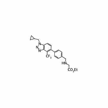 CCOC(=O)CNCc1ccc(-c2ccc3c(nnn3CC3CC3)c2C(F)(F)F)cc1